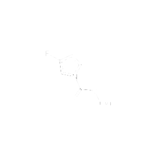 CC(C)(C)OC(=O)n1ccc(F)c1